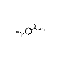 BCC(=O)c1ccc(NC(C)(C)C)cc1